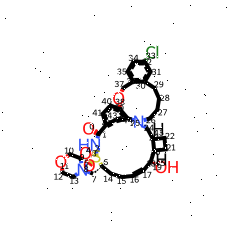 O=C1NS(=O)(=O)[C@@H](CN2CCOCC2)CC/C=C\[C@H](O)[C@@H]2CC[C@H]2CN2CCCCc3cc(Cl)ccc3COc3ccc1cc32